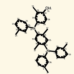 Cc1cccc(N(c2cccc(C)c2)c2cc(C)c(N(c3cccc(C)c3)c3ccc(O)c(C)c3)cc2C)c1